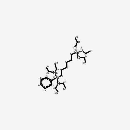 CCO[Si](CCCCCC[Si](c1ccccc1)(N(CC)CC)N(CC)CC)(OCC)OCC